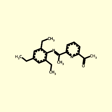 CCc1cc(CC)c(N=C(C)c2cccc(C(C)=O)n2)c(CC)c1